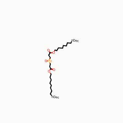 CCCCCCCCCCCCCCCCCCOC(=O)CC[PH](=O)CCC(=O)OCCCCCCCCCCCCCCCCCC